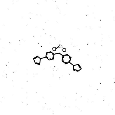 C1=CC(c2ccc(Cc3ccc(C4C=CC=C4)cc3)cc2)C=C1.[Cl][Zr][Cl]